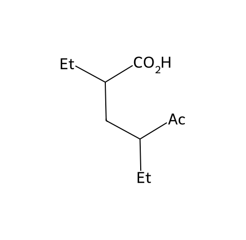 CCC(CC(CC)C(=O)O)C(C)=O